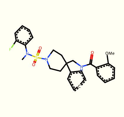 COc1ccccc1C(=O)NCC1(c2ccccc2)CCN(S(=O)(=O)N(C)c2ccccc2F)CC1